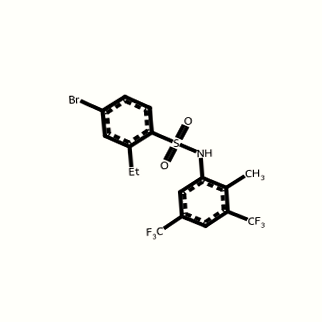 CCc1cc(Br)ccc1S(=O)(=O)Nc1cc(C(F)(F)F)cc(C(F)(F)F)c1C